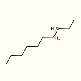 CCCCCC[SiH2][SiH2]CC